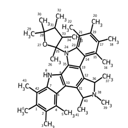 Cc1c(C)c(C)c2c([nH]c3c2c2c(c4c5c(C)c(C)c(C)c(C)c5n(C5(C)OC(C)(C)C(C)C5C)c34)C(C)N(C)C2C)c1C